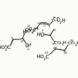 CC(O)C(=O)O.O=C(O)/C=C/C(=O)O.O=C(O)CC(O)C(=O)O.O=C(O)CCC(=O)O